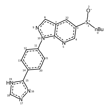 CCCC[S+]([O-])c1cnc2c(cnn2-c2ccc(-c3nnc[nH]3)cc2)c1